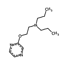 CCCN(CCC)CCOc1cnccn1